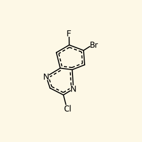 Fc1cc2ncc(Cl)nc2cc1Br